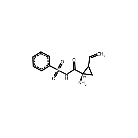 C=CC1C[C@]1(N)C(=O)NS(=O)(=O)c1ccccc1